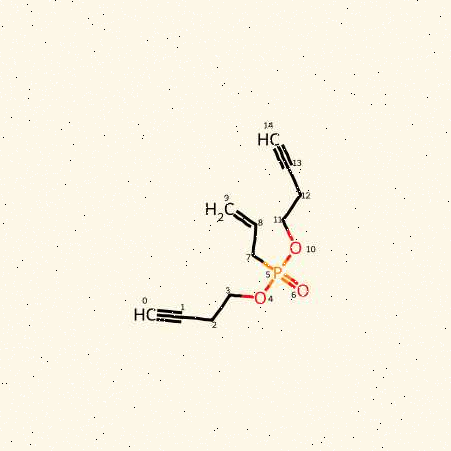 C#CCCOP(=O)(CC=C)OCCC#C